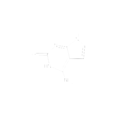 Nc1[nH]c(=O)nc2[nH]ccc12